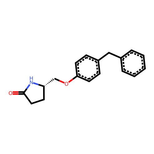 O=C1CC[C@@H](COc2ccc(Cc3ccccc3)cc2)N1